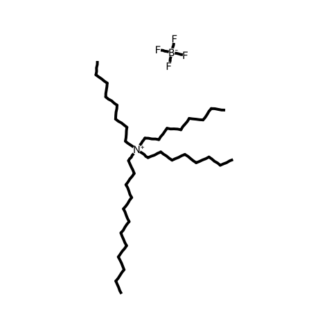 CCCCCCCCCCCC[N+](CCCCCCCC)(CCCCCCCC)CCCCCCCC.F[B-](F)(F)F